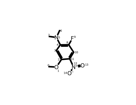 COc1cc(N(C)C)c(F)cc1[N+](=O)[O-]